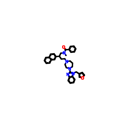 CN(CC(CCN1CCCN(c2nc3ccccc3n2Cc2ccoc2)CC1)c1ccc2ccccc2c1)C(=O)c1ccccc1